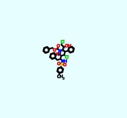 Cc1ccc(S(=O)(=O)NC(Cc2ccccc2)C(O)C(Cl)C(c2ccccc2)[C@H](NC(=O)OCc2ccccc2)[C@H](O)CCl)cc1